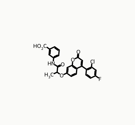 CC(Oc1ccc2c(-c3ccc(F)cc3Cl)cc(=O)oc2c1)C(=O)Nc1cccc(C(=O)O)c1